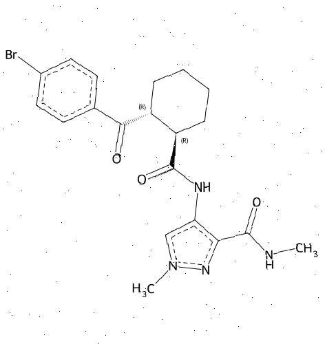 CNC(=O)c1nn(C)cc1NC(=O)[C@@H]1CCCC[C@H]1C(=O)c1ccc(Br)cc1